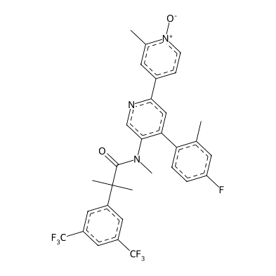 Cc1cc(F)ccc1-c1cc(-c2cc[n+]([O-])c(C)c2)ncc1N(C)C(=O)C(C)(C)c1cc(C(F)(F)F)cc(C(F)(F)F)c1